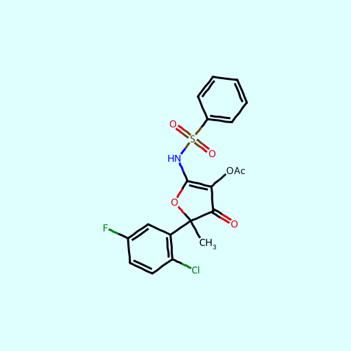 CC(=O)OC1=C(NS(=O)(=O)c2ccccc2)OC(C)(c2cc(F)ccc2Cl)C1=O